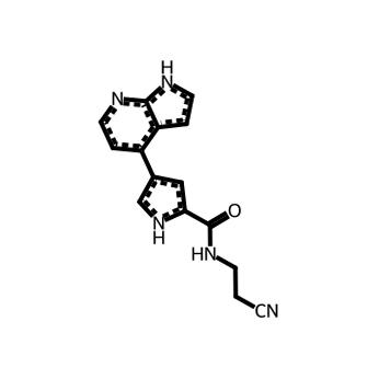 N#CCCNC(=O)c1cc(-c2ccnc3[nH]ccc23)c[nH]1